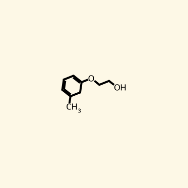 CC1=C=CC=C(OCCO)C1